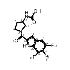 O=C(O)NC1CCN(C(=O)c2cc3cc(F)c(Br)c(F)c3[nH]2)C1